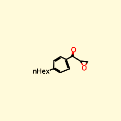 CCCCCCc1ccc(C(=O)C2CO2)cc1